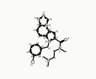 CN(C)CCN(C)C(=O)c1cc2c(ccc3nncn32)n1Cc1cccc(Cl)c1